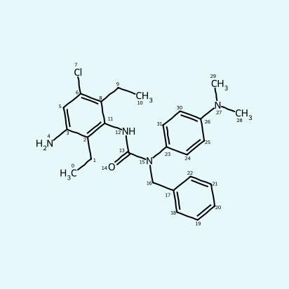 CCc1c(N)cc(Cl)c(CC)c1NC(=O)N(Cc1ccccc1)c1ccc(N(C)C)cc1